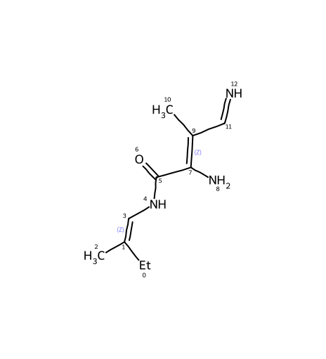 CC/C(C)=C\NC(=O)/C(N)=C(\C)C=N